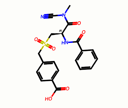 CN(C#N)C(=O)[C@H](CS(=O)(=O)Cc1ccc(C(=O)O)cc1)NC(=O)c1ccccc1